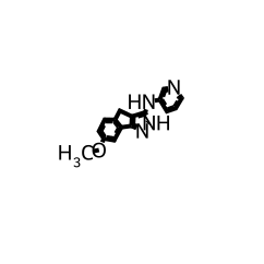 COc1ccc2c(c1)-c1n[nH]c(Nc3cccnc3)c1C2